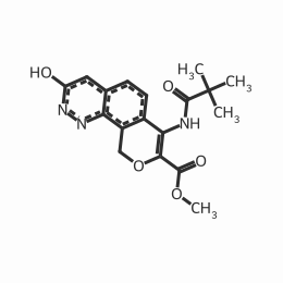 COC(=O)C1=C(NC(=O)C(C)(C)C)c2ccc3cc(O)nnc3c2CO1